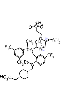 C=C(/N=C\C(=C/N)OCCS(C)(=O)=O)N(Cc1cc(C(F)(F)F)ccc1N(CC)C[C@H]1CC[C@H](CC(=O)O)CC1)[C@H](C)c1cc(C(F)(F)F)cc(C(F)(F)F)c1